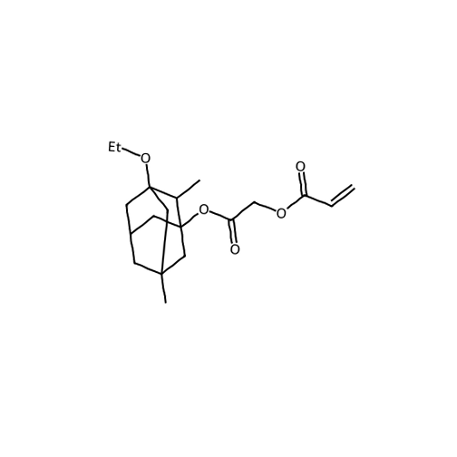 C=CC(=O)OCC(=O)OC12CC3CC(C)(CC(OCC)(C3)C1C)C2